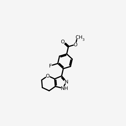 COC(=O)c1ccc(-c2n[nH]c3c2OCCC3)c(F)c1